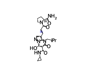 CC(C)Cn1c(=O)c(C(=O)NC2CC2)c(O)n2ncc(/C=C/C(=O)N3CCC[C@H]3C(N)=O)c12